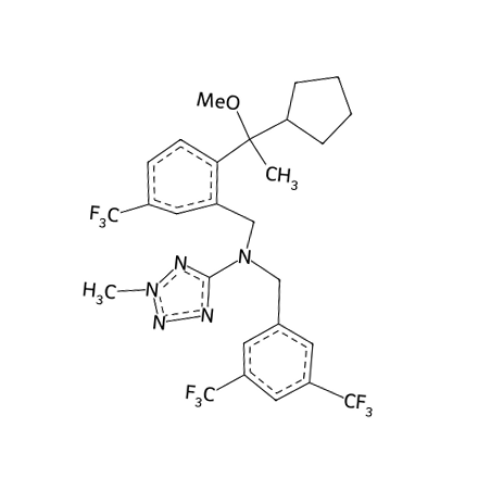 COC(C)(c1ccc(C(F)(F)F)cc1CN(Cc1cc(C(F)(F)F)cc(C(F)(F)F)c1)c1nnn(C)n1)C1CCCC1